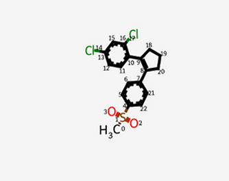 CS(=O)(=O)c1ccc(C2=C(c3ccc(Cl)cc3Cl)CCC2)cc1